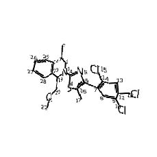 CCCN(c1nc(-c2cc(Cl)c(Cl)cc2Cl)c(C)s1)C(COC)c1ccccc1